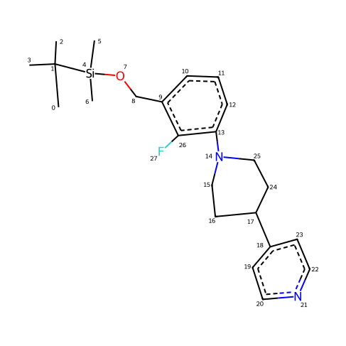 CC(C)(C)[Si](C)(C)OCc1cccc(N2CCC(c3ccncc3)CC2)c1F